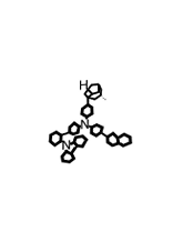 C[C@H]1CC2CC3[C@@H](C2)CC3(c2ccc(N(c3ccc(-c4ccc5ccccc5c4)cc3)c3ccc(-c4ccccc4-n4c5ccccc5c5ccccc54)cc3)cc2)C1